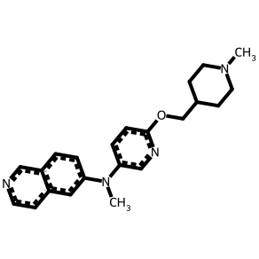 CN1CCC(COc2ccc(N(C)c3ccc4cnccc4c3)cn2)CC1